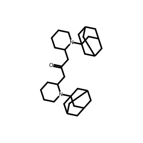 O=C(CC1CCCCN1C12CC3CC(CC(C3)C1)C2)CC1CCCCN1C12CC3CC(CC(C3)C1)C2